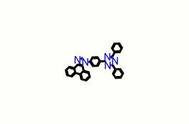 c1ccc(-c2nc(-c3ccccc3)nc(-c3ccc(-n4cnc5c6ccccc6c6ccccc6c54)cc3)n2)cc1